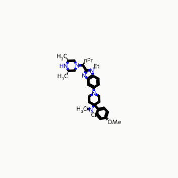 CCC[C@@H](c1nc2cc(N3CCC(c4ccc(OC)cc4)(N(C)C)CC3)ccc2n1CC)N1C[C@@H](C)N[C@@H](C)C1